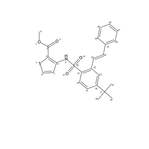 COC(=O)c1sccc1NS(=O)(=O)c1ccc(C(C)(C)C)cc1C=Cc1ccccc1